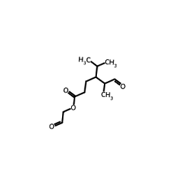 CC(C)C(CCC(=O)OCC=O)C(C)C=O